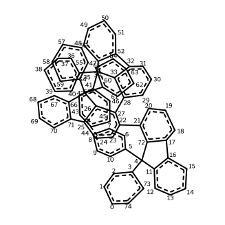 c1ccc(C2(c3ccccc3)c3ccccc3-c3cccc(-c4ccc5c(c4-c4cccc6c4C(c4ccccc4)(c4ccccc4)c4ccccc4-6)C(c4ccccc4)(c4ccccc4)c4ccccc4-5)c32)cc1